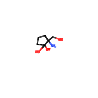 NC1(CO)CCCC1(O)O